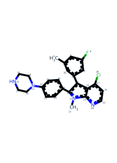 Cc1cc(F)cc(-c2c(-c3ccc(N4CCNCC4)cc3)n(C)c3nccc(Cl)c23)c1